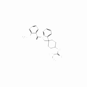 COc1ccccc1C(=O)NCC1(c2ccccc2)CCC(NC(=N)NC#N)CC1